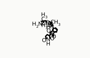 CC(C)(CN)COCC(C)(C)CNc1cccc2c1C(=O)N(C1CCC(=O)NC1=O)C2=O